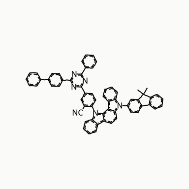 CC1(C)c2ccccc2-c2ccc(-n3c4ccccc4c4c3ccc3c5ccccc5n(-c5ccc(-c6nc(-c7ccccc7)nc(-c7ccc(-c8ccccc8)cc7)n6)cc5C#N)c34)cc21